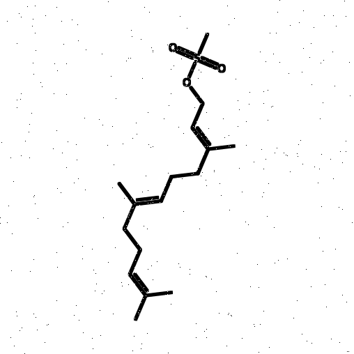 CC(C)=CCCC(C)=CCCC(C)=CCOS(C)(=O)=O